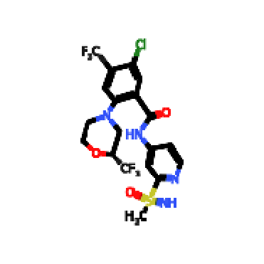 C[S@@](=N)(=O)c1cc(NC(=O)c2cc(Cl)c(C(F)(F)F)cc2N2CCO[C@H](C(F)(F)F)C2)ccn1